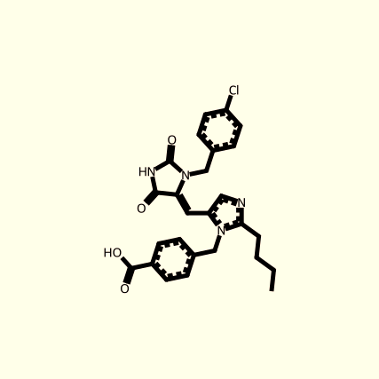 CCCCc1ncc(/C=C2/C(=O)NC(=O)N2Cc2ccc(Cl)cc2)n1Cc1ccc(C(=O)O)cc1